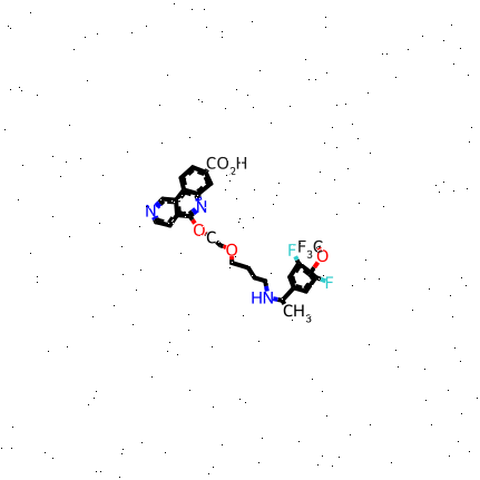 CC(NCCCCOCCOc1nc2cc(C(=O)O)ccc2c2cnccc12)c1cc(F)c(OC(F)(F)F)c(F)c1